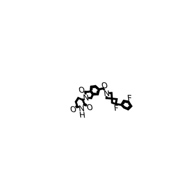 O=C1CCC(N2Cc3cc(C(=O)N4CC5(C4)CC(F)(c4cccc(F)c4)C5)ccc3C2=O)C(=O)N1